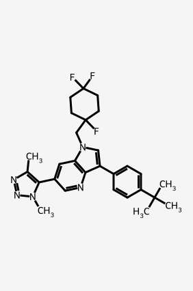 Cc1nnn(C)c1-c1cnc2c(-c3ccc(C(C)(C)C)cc3)cn(CC3(F)CCC(F)(F)CC3)c2c1